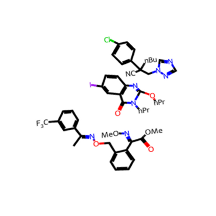 CCCCC(C#N)(Cn1cncn1)c1ccc(Cl)cc1.CCCOc1nc2ccc(I)cc2c(=O)n1CCC.CO/N=C(/C(=O)OC)c1ccccc1CO/N=C(\C)c1cccc(C(F)(F)F)c1